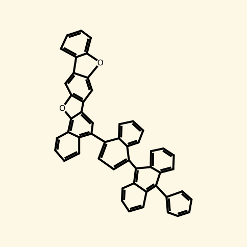 c1ccc(-c2c3ccccc3c(-c3ccc(-c4cc5c6cc7oc8ccccc8c7cc6oc5c5ccccc45)c4ccccc34)c3ccccc23)cc1